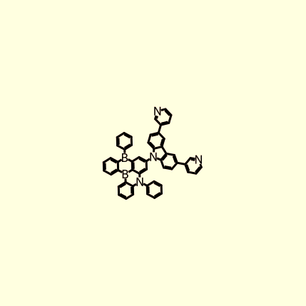 c1ccc(B2c3ccccc3B3c4ccccc4N(c4ccccc4)c4cc(-n5c6ccc(-c7cccnc7)cc6c6cc(-c7cccnc7)ccc65)cc2c43)cc1